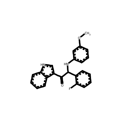 COc1cccc(NC(C(=O)c2c[nH]c3ccccc23)c2ccccc2F)c1